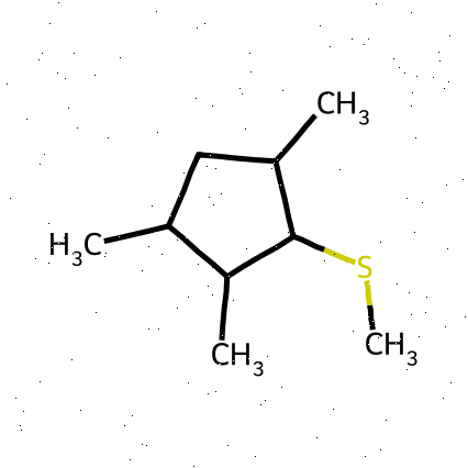 CSC1C(C)CC(C)C1C